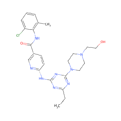 CCc1nc(Nc2ccc(C(=O)Nc3c(C)cccc3Cl)cn2)nc(N2CCN(CCO)CC2)n1